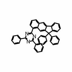 c1ccc(-c2nc(-c3ccccc3)nc(-c3cccc4cc5c(cc34)C(c3ccccc3)(c3ccccc3)c3ccccc3-5)n2)cc1